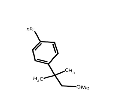 CCCc1ccc(C(C)(C)COC)cc1